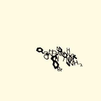 C[C@H]1CN(c2ccncc2NC(=O)c2nc3cc(Br)ccc3cc2NC(=O)OCc2ccccc2)C[C@@H](NC(=O)OC(C)(C)C)[C@H]1N/C=C\N